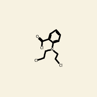 O=C(Cl)c1ccccc1N(CCCl)CCCl